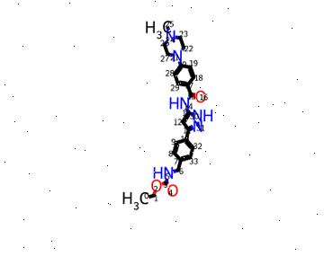 CCOC(=O)NCc1ccc(-c2cc(NC(=O)c3ccc(N4CCN(C)CC4)cc3)[nH]n2)cc1